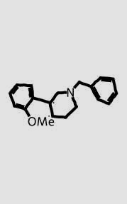 COc1ccccc1[C]1[CH]CCN(Cc2ccccc2)C1